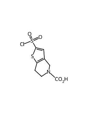 O=C(O)N1CCc2sc(S(=O)(=O)Cl)cc2C1